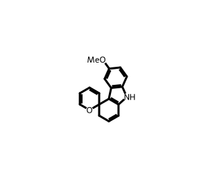 COc1ccc2[nH]c3c(c2c1)C1(C=CC=CO1)CC=C3